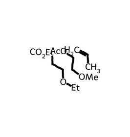 C=CC.CCOCCC(=O)OCC.COCCOC(C)=O